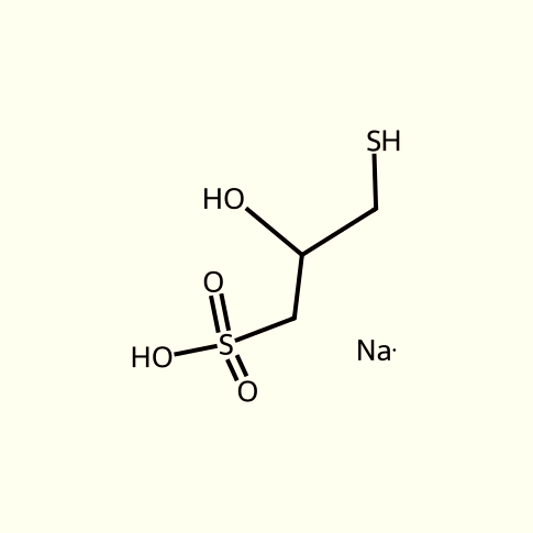 O=S(=O)(O)CC(O)CS.[Na]